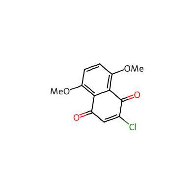 COc1ccc(OC)c2c1C(=O)C=C(Cl)C2=O